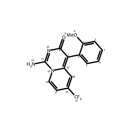 COc1ccccc1-c1c(=O)nc(N)n2ccc(C(F)(F)F)cc12